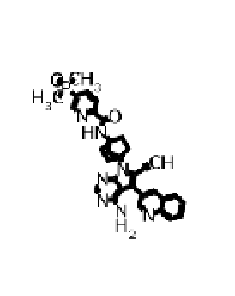 C#Cc1c(-c2cnc3ccccc3c2)c2c(N)ncnc2n1C12CCC(NC(=O)c3ccc(P(C)(C)=O)cn3)(CC1)C2